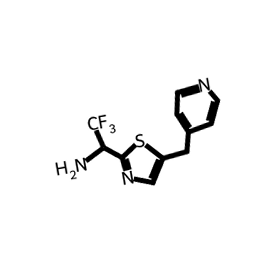 NC(c1ncc(Cc2ccncc2)s1)C(F)(F)F